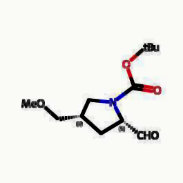 COC[C@H]1C[C@@H](C=O)N(C(=O)OC(C)(C)C)C1